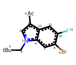 CC(=O)c1cn(CC(C)(C)C)c2cc(Br)c(F)cc12